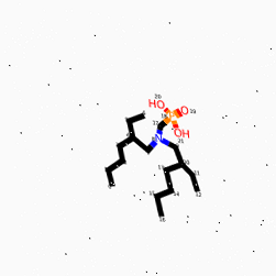 CCCCC(CC)CN(CC(CC)CCCC)CP(=O)(O)O